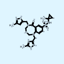 Cc1cc(CN2COCN(Cc3noc(C)n3)c3ccc(S(=O)(=O)NC4(C)CC4)cc3C2=O)on1